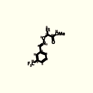 CCC(ON=Cc1cccc(C(F)(F)F)c1)C(=O)OC